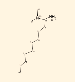 CCCCCCCCCC(N)N(C)C